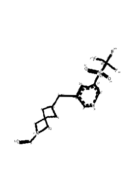 O=CN1CC2(CC(Cc3cncc(S(=O)(=O)C(F)(F)F)c3)C2)C1